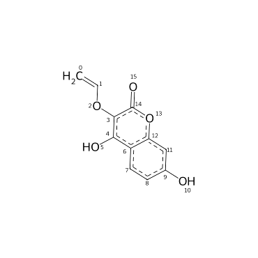 C=COc1c(O)c2ccc(O)cc2oc1=O